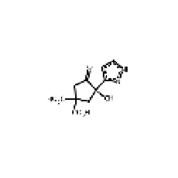 C[C@@]1(c2cc[nH]n2)CC(C(=O)O)(C(=O)O)CC1=O